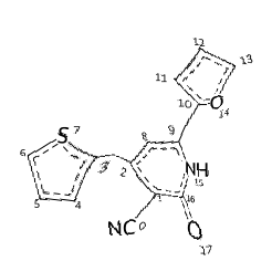 N#Cc1c(-c2cccs2)cc(-c2ccco2)[nH]c1=O